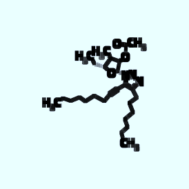 CCCCCCCC#Cc1c(CCCCCCC)nnn1[C@@H]1O[C@H](CC)[C@@H](C)[C@H]1OC(C)=O